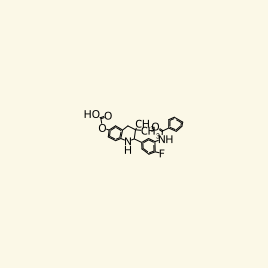 CC1(C)Cc2cc(OC(=O)O)ccc2NC1c1ccc(F)c(NC(=O)c2ccccc2)c1